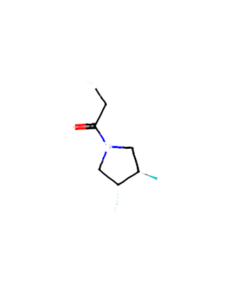 CC(C)CC(=O)N1C[C@@H](F)[C@H](F)C1